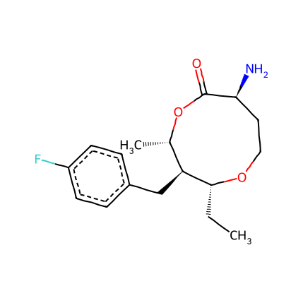 CC[C@H]1OCC[C@H](N)C(=O)O[C@@H](C)[C@@H]1Cc1ccc(F)cc1